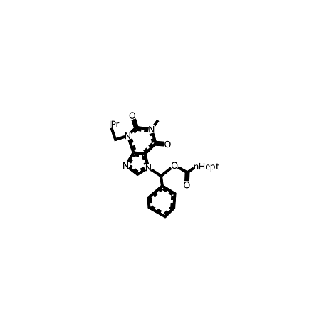 CCCCCCCC(=O)OC(c1ccccc1)n1cnc2c1c(=O)n(C)c(=O)n2CC(C)C